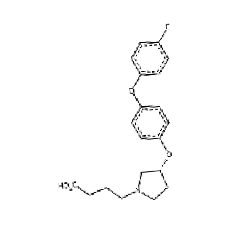 O=C(O)CCCN1CC[C@@H](Oc2ccc(Oc3ccc(Cl)cc3)cc2)C1